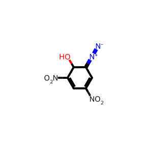 [N-]=[N+]=C1C=C([N+](=O)[O-])C=C([N+](=O)[O-])C1O